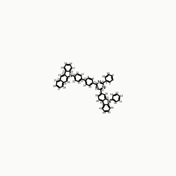 c1ccc(-c2nc(-c3ccc(-c4ccc(-n5c6ccccc6c6cc7ccccc7cc65)cc4)cc3)nc(-c3ccc4c5ccccc5n(-c5ccccc5)c4c3)n2)cc1